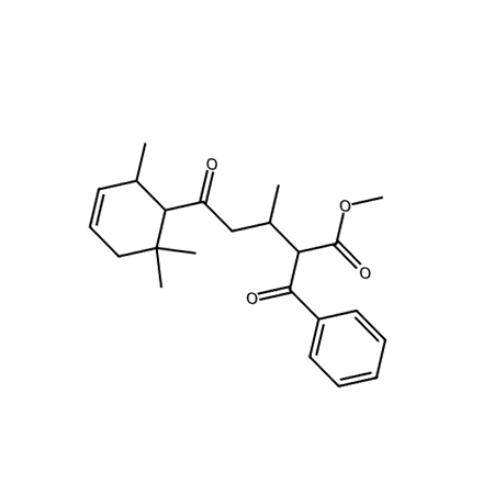 COC(=O)C(C(=O)c1ccccc1)C(C)CC(=O)C1C(C)C=CCC1(C)C